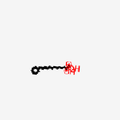 O=C(O)C(O)CCCCCCCCCCCC1CCCCCC1